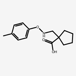 Cc1ccc(ONCC2(C(=O)O)CCCC2)cc1